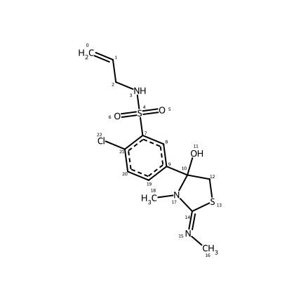 C=CCNS(=O)(=O)c1cc(C2(O)CS/C(=N\C)N2C)ccc1Cl